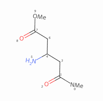 CNC(=O)CC(N)CC(=O)OC